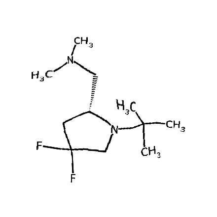 CN(C)C[C@H]1CC(F)(F)CN1C(C)(C)C